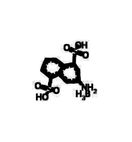 B.Nc1cc(S(=O)(=O)O)c2cccc(S(=O)(=O)O)c2c1